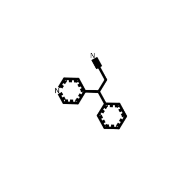 N#CCC(c1ccccc1)c1ccncc1